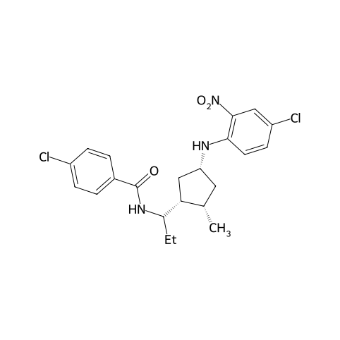 CCC(NC(=O)c1ccc(Cl)cc1)[C@@H]1C[C@H](Nc2ccc(Cl)cc2[N+](=O)[O-])C[C@@H]1C